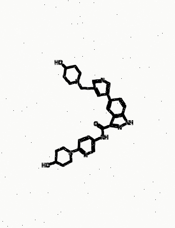 O=C(Nc1ccc(N2CCC(O)CC2)nc1)c1n[nH]c2ccc(-c3cncc(CN4CCC(O)CC4)c3)cc12